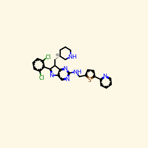 Clc1cccc(Cl)c1C1=Nc2cnc(NCc3ccc(-c4ccccn4)s3)nc2C1C[C@@H]1CCCNC1